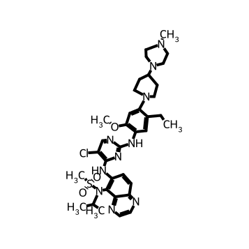 CCc1cc(Nc2ncc(Cl)c(Nc3ccc4nccnc4c3N(C(C)C)S(C)(=O)=O)n2)c(OC)cc1N1CCC(N2CCN(C)CC2)CC1